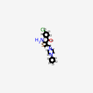 Nc1scc(CN2CCN(c3ccccc3)CC2)c1C(=O)c1ccc(Cl)cc1